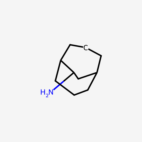 NC1CC2CCCC1CCC2